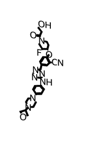 N#Cc1cc(-c2ncnc(Nc3ccc(N4CCN(C5COC5)CC4)cc3)n2)ccc1O[C@H]1CCN(C(=O)CCO)C[C@@H]1F